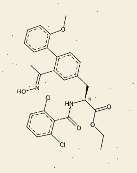 CCOC(=O)[C@H](Cc1ccc(-c2ccccc2OC)c(C(C)=NO)c1)NC(=O)c1c(Cl)cccc1Cl